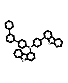 c1ccc(-c2cccc(-c3ccc(N(c4ccc(-c5cccc6c5oc5ccccc56)cc4)c4cccc5oc6ccccc6c45)cc3)c2)cc1